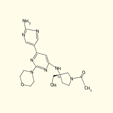 CC(=O)N1CC[C@](CO)(Nc2cc(-c3cnc(N)nc3)nc(N3CCOCC3)n2)C1